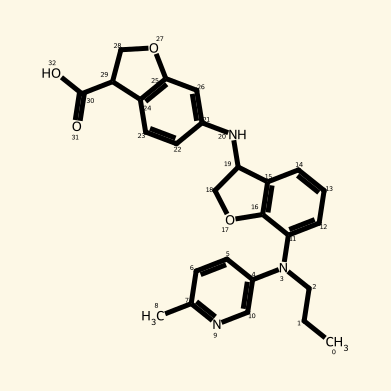 CCCN(c1ccc(C)nc1)c1cccc2c1OCC2Nc1ccc2c(c1)OCC2C(=O)O